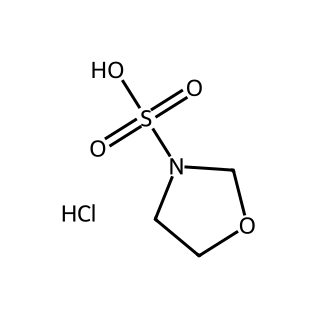 Cl.O=S(=O)(O)N1CCOC1